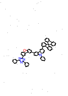 C1=CC2C(C=C1c1cccc3c1-c1ccccc1C31c3ccccc3-c3ccccc31)c1cc(-c3ccc4oc5ccc(-c6nc(-c7ccccc7)nc(-c7ccccc7)n6)cc5c4c3)ccc1N2c1ccccc1